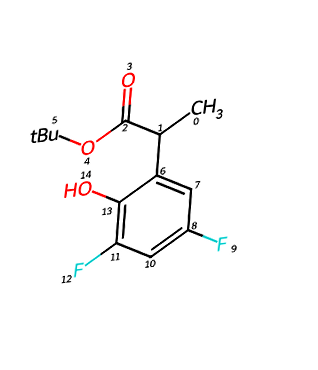 CC(C(=O)OC(C)(C)C)c1cc(F)cc(F)c1O